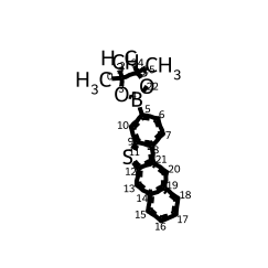 CC1(C)OB(c2ccc3c(c2)sc2cc4ccccc4cc23)OC1(C)C